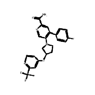 NC(=O)c1cc(-c2ccc(F)cc2)c(N2CCC(Oc3ccnc(C(F)(F)F)c3)C2)cn1